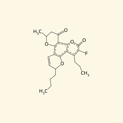 CCCCC1C=Cc2c3c(c4oc(=O)c(F)c(CCC)c4c2O1)C(=O)CC(C)O3